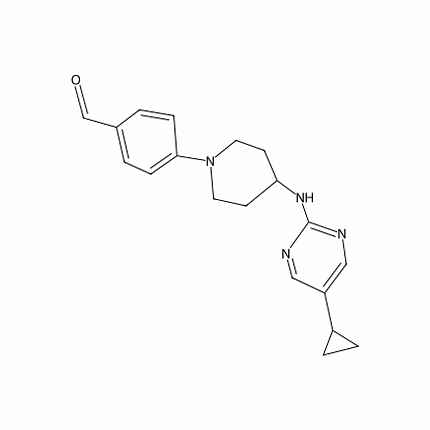 O=Cc1ccc(N2CCC(Nc3ncc(C4CC4)cn3)CC2)cc1